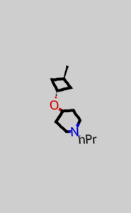 CCCN1CCC(O[C@H]2C[C@H](C)C2)CC1